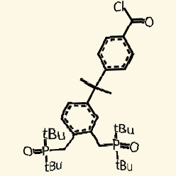 CC(C)(c1ccc(C(=O)Cl)cc1)c1ccc(CP(=O)(C(C)(C)C)C(C)(C)C)c(CP(=O)(C(C)(C)C)C(C)(C)C)c1